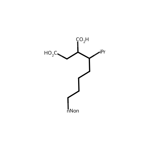 CCCCCCCCCCCCCC(C(C)C)C(CC(=O)O)C(=O)O